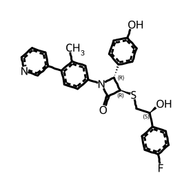 Cc1cc(N2C(=O)[C@H](SC[C@@H](O)c3ccc(F)cc3)[C@H]2c2ccc(O)cc2)ccc1-c1cccnc1